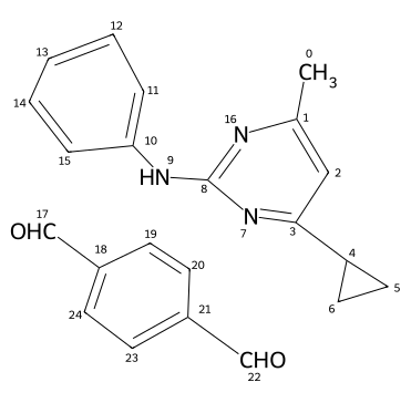 Cc1cc(C2CC2)nc(Nc2ccccc2)n1.O=Cc1ccc(C=O)cc1